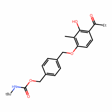 CCC(=O)c1ccc(OCc2ccc(COC(=O)NC(C)(C)C)cc2)c(C)c1O